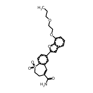 CCCOCCOc1cccc2cc(-c3ccc4c(c3)C=C(C(N)=O)CCS4(=O)=O)oc12